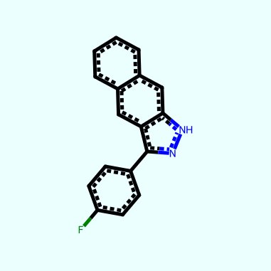 Fc1ccc(-c2n[nH]c3cc4ccccc4cc23)cc1